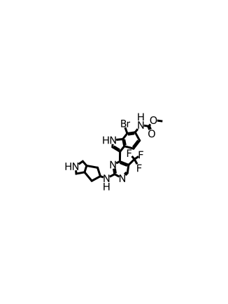 COC(=O)Nc1ccc2c(-c3nc(NC4CC5CNCC5C4)ncc3C(F)(F)F)c[nH]c2c1Br